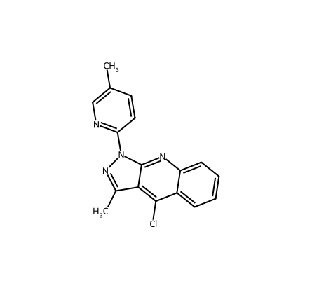 Cc1ccc(-n2nc(C)c3c(Cl)c4ccccc4nc32)nc1